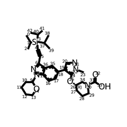 CC(C)[Si](C#Cc1nn(C2CCCCO2)c2ccc(-c3cnn(C)c3O[C@@H]3CCCN(C(=O)O)C3)cc12)(C(C)C)C(C)C